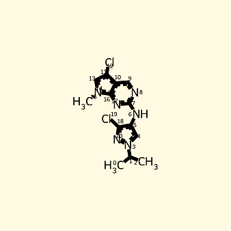 CC(C)n1cc(Nc2ncc3c(Cl)cn(C)c3n2)c(Cl)n1